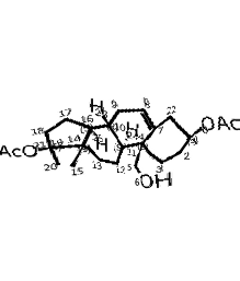 CC(=O)O[C@H]1CC[C@@]2(CO)C(=CC[C@@H]3[C@@H]2CC[C@@]2(C)[C@H]3CC[C@]2(C)OC(C)=O)C1